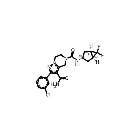 NC(=O)c1c(-c2cccc(Cl)c2)nn2c1CN(C(=O)N[C@@H]1C[C@@H]3[C@H](C1)C3(F)F)CC2